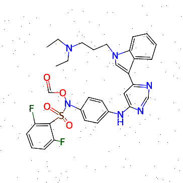 CCN(CC)CCCn1cc(-c2cc(Nc3ccc(N(OC=O)S(=O)(=O)c4c(F)cccc4F)cc3)ncn2)c2ccccc21